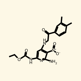 CCOC(=O)Nc1cc(NCC(=O)c2ccc(C)c(C)c2)c([N+](=O)[O-])c(N)n1